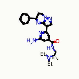 CCN(CC)[C@@H](C)CNC(=O)c1cc(N)nc(-c2cnn3ccc(-c4ccccc4)nc23)c1